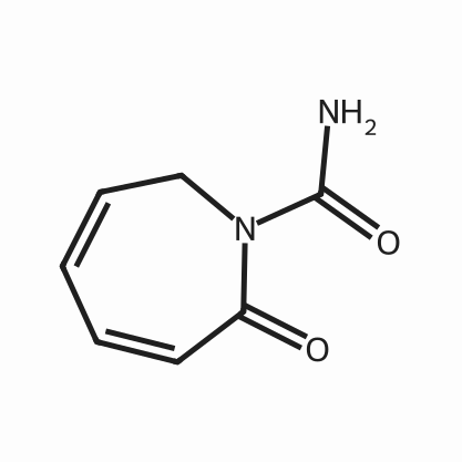 NC(=O)N1CC=CC=CC1=O